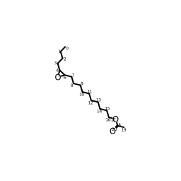 CCCCC1OC1CCCCCCCCCCOC(C)=O